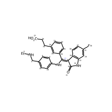 CCNCc1ccc(N/C(=C2\C(=O)Nc3cc(F)ccc32)c2cccc(CCC(=O)O)c2)cc1